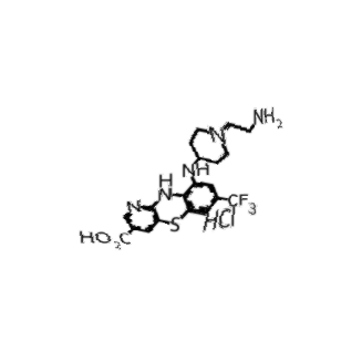 Cl.NCCN1CCC(Nc2cc(C(F)(F)F)cc3c2Nc2ncc(C(=O)O)cc2S3)CC1